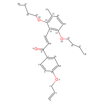 C=CCOc1ccc(C(=O)C=Cc2c(OCCCC)ccc(C)c2OCCCC)cc1